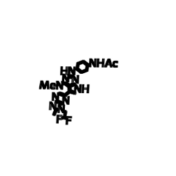 CNc1nc(N[C@H]2CC[C@@H](NC(C)=O)CC2)nc2[nH]cc(-c3cnc4nc(C)n(CC(F)F)c4n3)c12